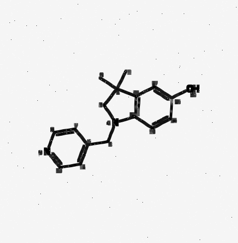 CC1(C)CN(Cc2ccncc2)c2ccc(O)cc21